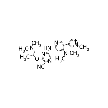 CC(CN(C)C)Oc1nc(Nc2cc(N(C)C)c(-c3cnn(C)c3)cn2)cnc1C#N